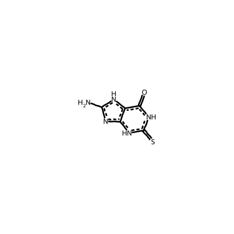 Nc1nc2[nH]c(=S)[nH]c(=O)c2[nH]1